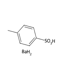 Cc1ccc(S(=O)(=O)O)cc1.[BaH2]